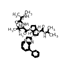 CN[C@@H](C)C(=O)N[C@H](C(=O)N1CC[C@@H]2[C@H]1[C@@H](c1cn3cccc(-c4ccccc4)c3n1)CN2C(=O)NC(C)C)C(C)(C)C